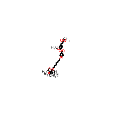 COC(=O)/C=C/c1ccc(OC(=O)c2ccc(OCCCCCCCCCOC(=O)C(C)(C(C)(C)C)C(C)(C)C)cc2)c(OC)c1